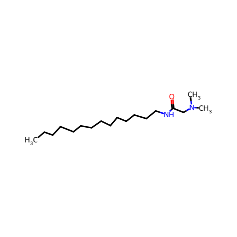 CCCCCCCCCCCCCCNC(=O)CN(C)C